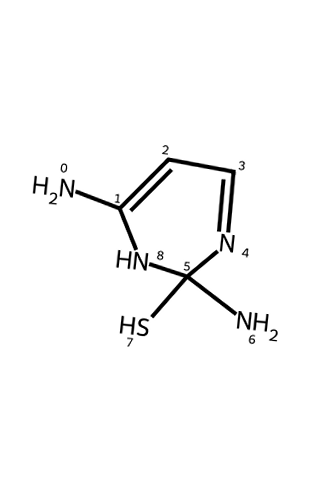 NC1=CC=NC(N)(S)N1